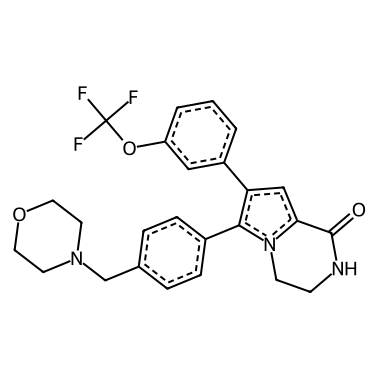 O=C1NCCn2c1cc(-c1cccc(OC(F)(F)F)c1)c2-c1ccc(CN2CCOCC2)cc1